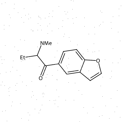 CCC(NC)C(=O)c1ccc2occc2c1